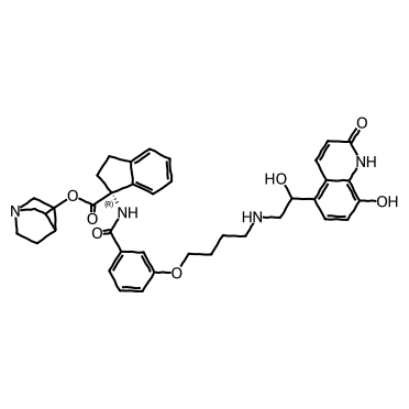 O=C(N[C@]1(C(=O)OC2CN3CCC2CC3)CCc2ccccc21)c1cccc(OCCCCNCC(O)c2ccc(O)c3[nH]c(=O)ccc23)c1